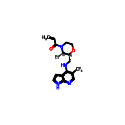 C=CC(=O)N1CCO[C@H](CNc2c(C(F)(F)F)cnc3[nH]ccc23)[C@@H]1CC